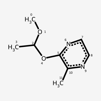 COC(C)Oc1nccnc1C